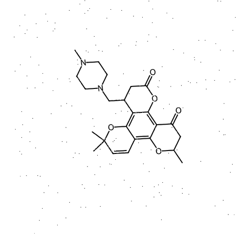 CC1CC(=O)c2c(c3c(c4c2OC(=O)CC4CN2CCN(C)CC2)OC(C)(C)C=C3)O1